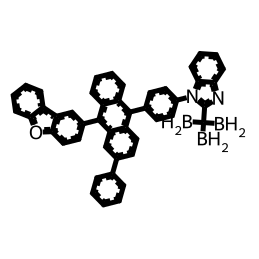 BC(B)(B)c1nc2ccccc2n1-c1ccc(-c2c3ccccc3c(-c3ccc4oc5ccccc5c4c3)c3cc(-c4ccccc4)ccc23)cc1